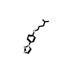 CC(C)CCCOc1ccc(-n2ccnn2)cc1